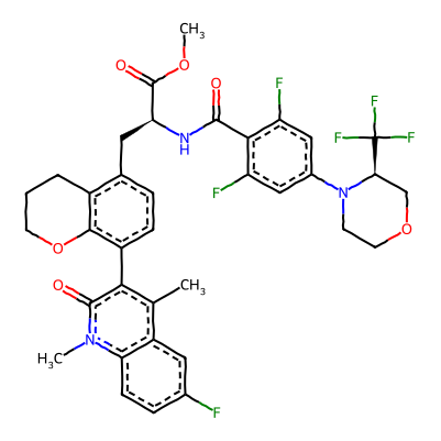 COC(=O)[C@H](Cc1ccc(-c2c(C)c3cc(F)ccc3n(C)c2=O)c2c1CCCO2)NC(=O)c1c(F)cc(N2CCOC[C@@H]2C(F)(F)F)cc1F